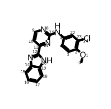 COc1ccc(Nc2nccc(-c3nc4ccccc4[nH]3)n2)cc1Cl